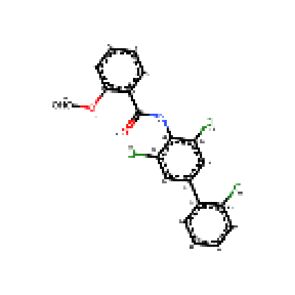 O=COc1ccccc1C(=O)Nc1c(Cl)cc(-c2ccccc2Cl)cc1Cl